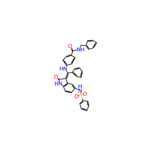 O=C1Nc2ccc(NS(=O)(=O)c3ccccc3)cc2/C1=C(/Nc1ccc(C(=O)NCc2ccccc2)cc1)c1ccccc1